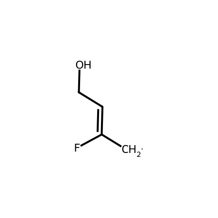 [CH2]C(F)=CCO